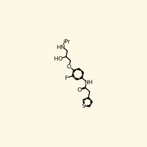 CC(C)NCC(O)COc1ccc(NC(=O)Cc2ccsc2)cc1F